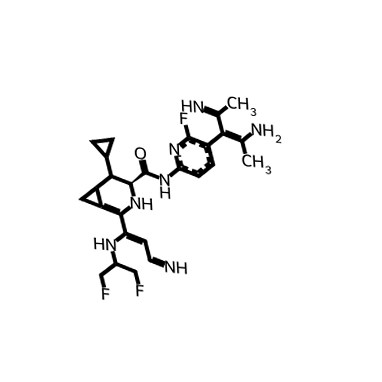 CC(=N)/C(=C(/C)N)c1ccc(NC(=O)[C@H]2NC(/C(=C/C=N)NC(CF)CF)=C3CC3C2C2CC2)nc1F